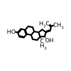 C=C(C)/C=C1\CC2C3CCc4cc(O)ccc4C3CC[C@]2(C)[C@H]1O